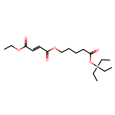 CCOC(=O)C=CC(=O)OCCCCC(=O)O[Si](CC)(CC)CC